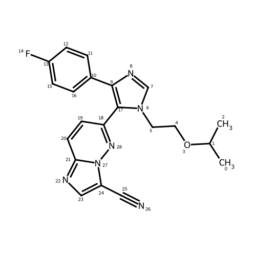 CC(C)OCCn1cnc(-c2ccc(F)cc2)c1-c1ccc2ncc(C#N)n2n1